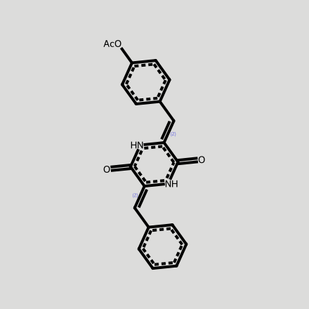 CC(=O)Oc1ccc(/C=c2\[nH]c(=O)/c(=C/c3ccccc3)[nH]c2=O)cc1